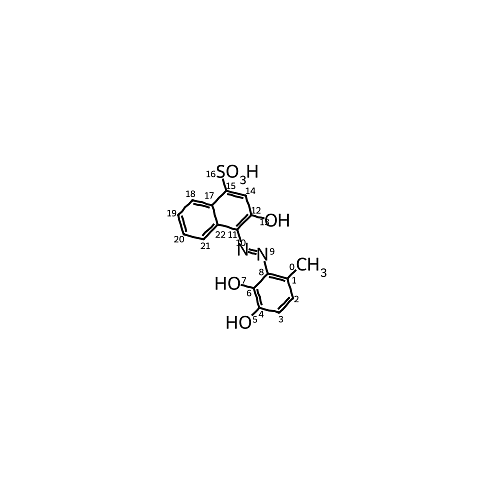 Cc1ccc(O)c(O)c1N=Nc1c(O)cc(S(=O)(=O)O)c2ccccc12